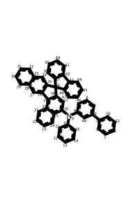 c1ccc(-c2cccc(N(c3ccccc3)c3cc4c(c5ccccc35)-c3cc5ccccc5cc3C43c4ccccc4-c4ccccc43)c2)cc1